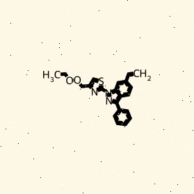 C=Cc1ccc2c(-c3ccccc3)nn(-c3nc(COOCC)cs3)c2c1